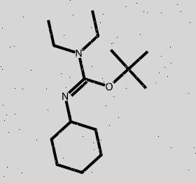 CCN(CC)C(=NC1CCCCC1)OC(C)(C)C